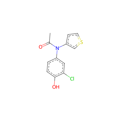 CC(=O)N(c1ccsc1)c1ccc(O)c(Cl)c1